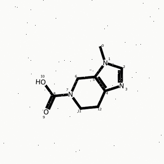 Cn1cnc2c1CN(C(=O)O)CC2